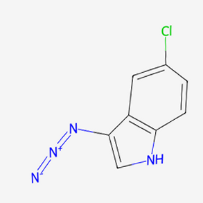 [N-]=[N+]=Nc1c[nH]c2ccc(Cl)cc12